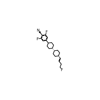 N#Cc1c(F)cc(C2CCC([C@H]3CC[C@H](/C=C/CCF)CC3)CC2)cc1F